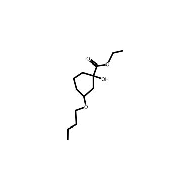 CCCCOC1CCCC(O)(C(=O)OCC)C1